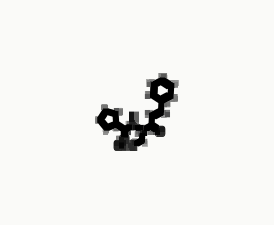 O=[C]CN(NC(=O)C1CCCC1)C(=O)C=Cc1ccccc1